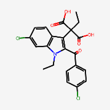 CCn1c(C(=O)c2ccc(Cl)cc2)c(C(CC)(C(=O)O)C(=O)O)c2ccc(Cl)cc21